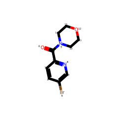 O=C(c1ccc(Br)cn1)N1CCOCC1